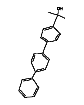 CC(C)(O)c1ccc(-c2ccc(-c3ccccc3)cc2)cc1